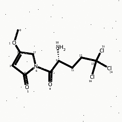 COC1=CC(=O)N(C(=O)[C@H](N)CCC(Cl)(Cl)Cl)C1